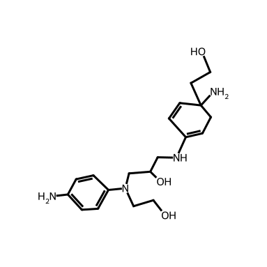 Nc1ccc(N(CCO)CC(O)CNC2=CCC(N)(CCO)C=C2)cc1